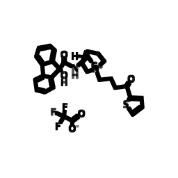 O=C(CCC[N+]12CCC(CC1)[C@@H](NC(=O)C1(O)c3ccccc3-c3ccccc31)C2)c1cccs1.O=C([O-])C(F)(F)F